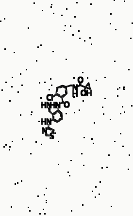 N=Cc1c(NC(=O)c2cc(CNC(=O)C3(O)CC3)ccc2Cl)cccc1Nc1cscn1